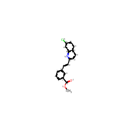 COC(=O)c1cccc(C=Cc2ccc3ccc(Cl)cc3n2)c1